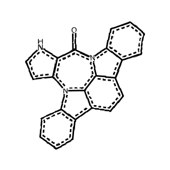 O=c1c2[nH]ccc2n2c3ccccc3c3ccc4c5ccccc5n1c4c32